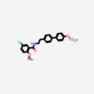 CCCCOc1ccc(Cl)cc1C(=O)NCCc1ccc(-c2ccc(OC(=O)O)cc2)cc1